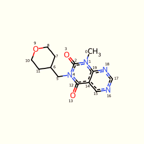 Cn1c(=O)n(CC2CCOCC2)c(=O)c2cncnc21